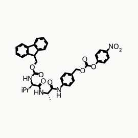 CC(C)[C@@H](NC(=O)OCC1c2ccccc2-c2ccccc21)C(=O)N[C@@H](C)C(=O)Nc1ccc(COC(=O)Oc2ccc([N+](=O)[O-])cc2)cc1